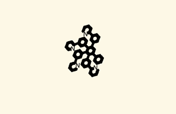 c1ccc(-c2cc(-c3cccc(-c4ccccn4)c3)c(-c3cccc(-c4ccccn4)c3)c(-c3cccc(-c4ccccn4)c3)c2-c2cccc(-c3ccccn3)c2)cc1